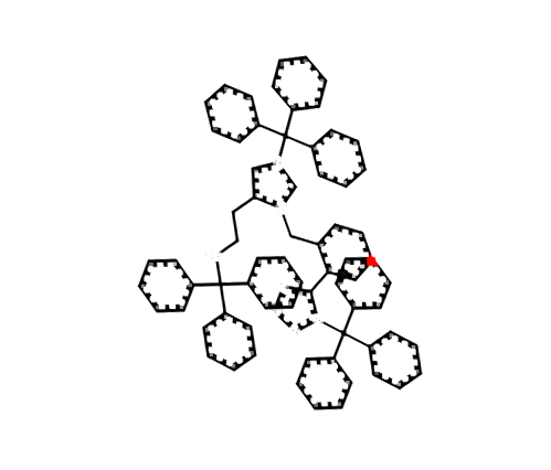 c1ccc(C(NCCc2cn(C(c3ccccc3)(c3ccccc3)c3ccccc3)c[n+]2Cc2ccccc2-c2nnnn2C(c2ccccc2)(c2ccccc2)c2ccccc2)(c2ccccc2)c2ccccc2)cc1